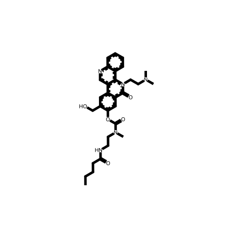 CCCCC(=O)NCCN(C)C(=O)Oc1cc2c(=O)n(CCN(C)C)c3c4ccccc4ncc3c2cc1CO